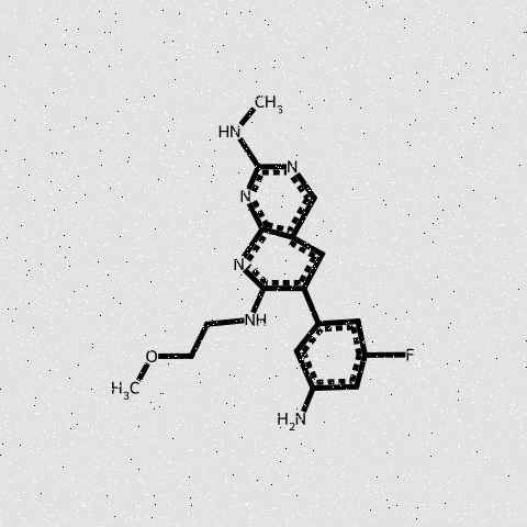 CNc1ncc2cc(-c3cc(N)cc(F)c3)c(NCCOC)nc2n1